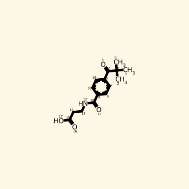 CC(C)(C)C(=O)c1ccc(C(=O)NCCC(=O)O)cc1